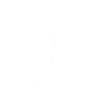 NC(=O)C(=O)C(Cc1ccccc1)NC(=O)[C@@H]1CCC(=O)N1Cc1cccc(F)c1